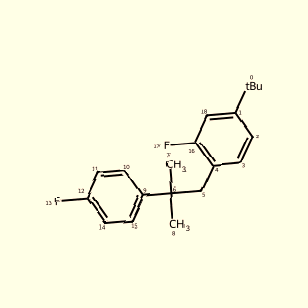 CC(C)(C)c1ccc(CC(C)(C)c2ccc(F)cc2)c(F)c1